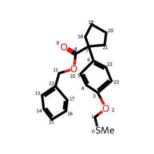 CSCOc1ccc(C2(C(=O)OCc3ccccc3)CCCC2)cc1